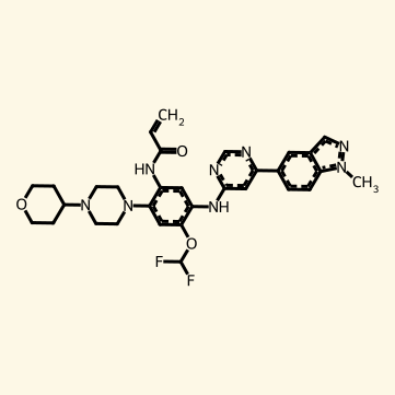 C=CC(=O)Nc1cc(Nc2cc(-c3ccc4c(cnn4C)c3)ncn2)c(OC(F)F)cc1N1CCN(C2CCOCC2)CC1